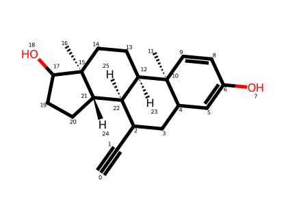 C#CC1CC2C=C(O)C=C[C@]2(C)[C@@H]2CC[C@]3(C)C(O)CC[C@H]3[C@H]12